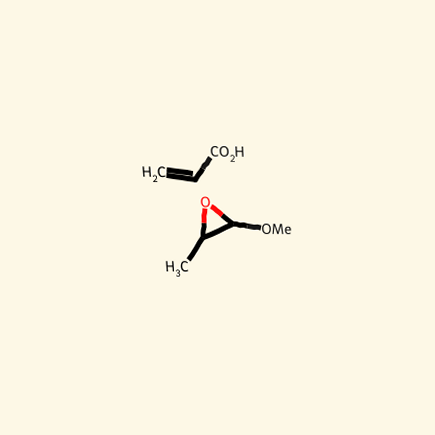 C=CC(=O)O.COC1OC1C